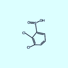 O=S(O)c1cccc(Cl)c1Cl